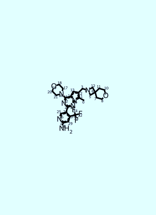 Cc1c(CN2CC3(CCOCC3)C2)cc2c(N3CCOCC3)nc(-c3cnc(N)cc3C(F)(F)F)nn12